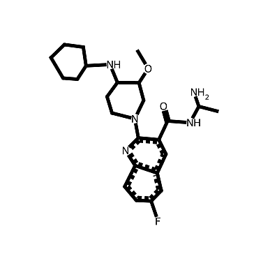 COC1CN(c2nc3ccc(F)cc3cc2C(=O)NC(C)N)CCC1NC1CCCCC1